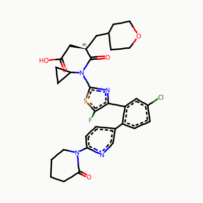 O=C(O)C[C@@H](CC1CCOCC1)C(=O)N(c1nc(-c2cc(Cl)ccc2-c2ccc(N3CCCCC3=O)nc2)c(F)s1)C1CC1